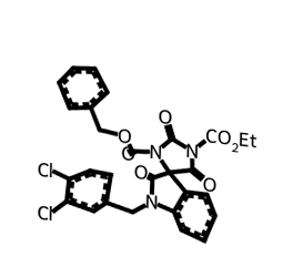 CCOC(=O)N1C(=O)N(C(=O)OCc2ccccc2)C2(C1=O)C(=O)N(Cc1ccc(Cl)c(Cl)c1)c1ccccc12